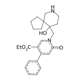 CCOC(=O)c1cn(CC2(O)CCNCC23CCCC3)c(=O)cc1-c1ccccc1